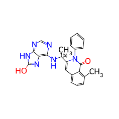 Cc1cccc2cc([C@H](C)Nc3ncnc4[nH]c(O)nc34)n(-c3ccccc3)c(=O)c12